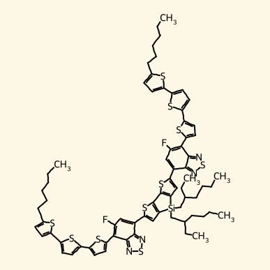 CCCCCCc1ccc(-c2ccc(-c3ccc(-c4c(F)cc(-c5cc6c(s5)-c5sc(-c7cc(F)c(-c8ccc(-c9ccc(-c%10ccc(CCCCCC)s%10)s9)s8)c8nsnc78)cc5[Si]6(CC(CC)CCCC)CC(CC)CCCC)c5nsnc45)s3)s2)s1